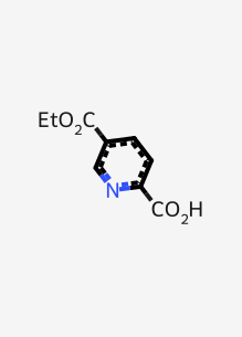 CCOC(=O)c1ccc(C(=O)O)nc1